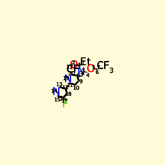 CCC(=O)N(COCC(F)(F)F)c1ccc(-c2cncc(F)c2)nc1C(F)(F)F